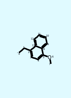 [CH2]Cc1ccc(OC)c2ccccc12